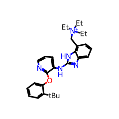 CC[N+](CC)(CC)Cc1cccc2nc(Nc3cccnc3Oc3ccccc3C(C)(C)C)[nH]c12